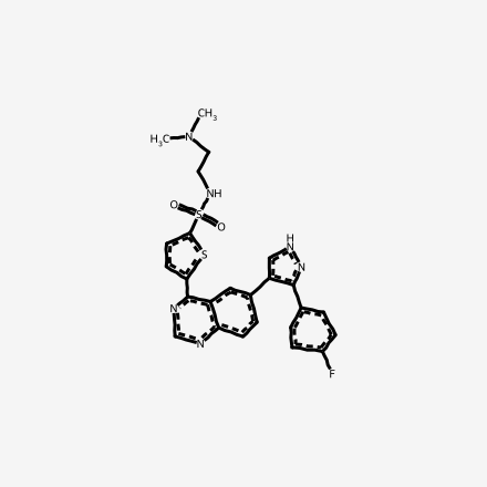 CN(C)CCNS(=O)(=O)c1ccc(-c2ncnc3ccc(-c4c[nH]nc4-c4ccc(F)cc4)cc23)s1